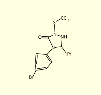 CC(C)C1NN(SC(Cl)(Cl)Cl)C(=O)N1c1ccc(Br)cc1